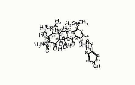 CN(C)c1cc(CNCc2cc[n+](O)cc2)c(O)c2c1C[C@H]1C[C@H]3[C@H](N(C)C)C(O)=C(C(N)=O)C(=O)[C@@]3(O)C(O)=C1C2=O